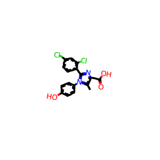 Cc1c(C(=O)O)nc(-c2ccc(Cl)cc2Cl)n1-c1ccc(O)cc1